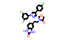 O=C1CO[C@@H](c2nn(-c3cc(F)cc(F)c3)cc2-c2ccc(F)cc2)N1CCc1ccc2[nH]c(=O)[nH]c2c1